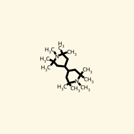 CN1C(C)(C)CC(C2CC(C)(C)N(C)C(C)(C)C2)CC1(C)C